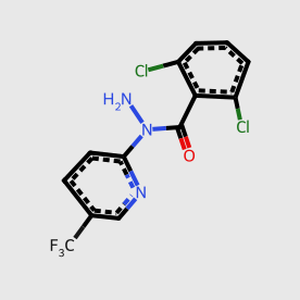 NN(C(=O)c1c(Cl)cccc1Cl)c1ccc(C(F)(F)F)cn1